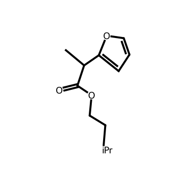 CC(C)CCOC(=O)C(C)c1ccco1